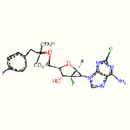 Nc1nc(Cl)nc2c1ncn2C1[C@@H]2O[C@H](COC(Cc3ccc(I)cc3)(C(=O)O)C(=O)O)[C@@H](O)[C@@]12F